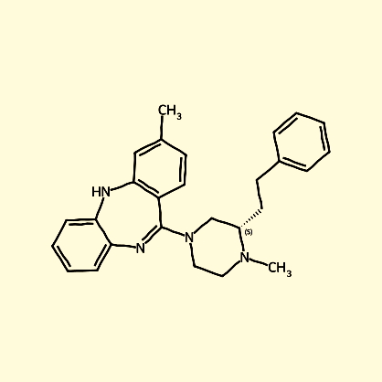 Cc1ccc2c(c1)Nc1ccccc1N=C2N1CCN(C)[C@@H](CCc2ccccc2)C1